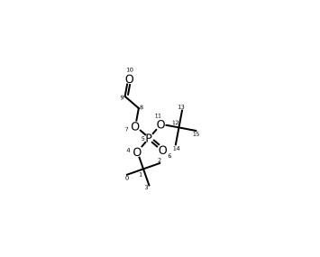 CC(C)(C)OP(=O)(OCC=O)OC(C)(C)C